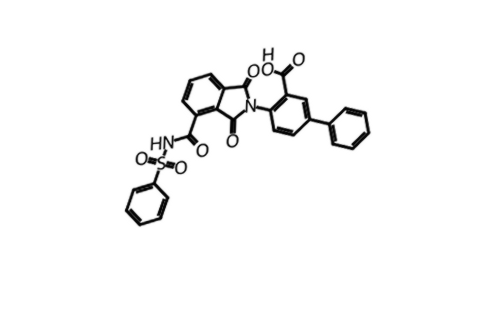 O=C(O)c1cc(-c2ccccc2)ccc1N1C(=O)c2cccc(C(=O)NS(=O)(=O)c3ccccc3)c2C1=O